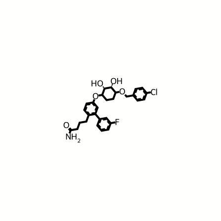 NC(=O)CCCc1ccc(OC2CCC(OCc3ccc(Cl)cc3)[C@@H](O)[C@H]2O)cc1-c1cccc(F)c1